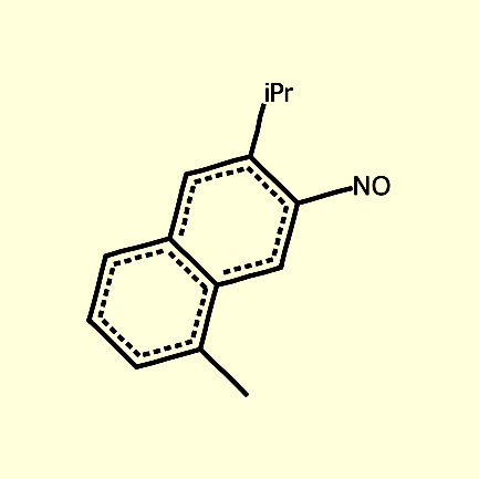 Cc1cccc2cc(C(C)C)c(N=O)cc12